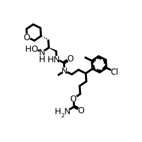 Cc1ccc(Cl)cc1C(CCCOC(N)=O)CCN(C)C(=O)NC[C@H](C[C@H]1CCCOC1)NO